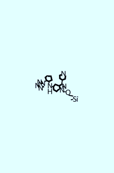 C[Si](C)(C)CCOCn1nc(-c2ccncc2)c2cc(Nc3ccccc3-n3cnnn3)ccc21